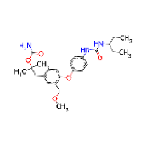 CCC(CC)NC(=O)Nc1ccc(Oc2ccc(CC(C)(C)OC(N)=O)cc2COC)cc1